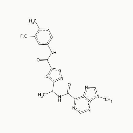 Cc1ccc(NC(=O)c2cnc(C(C)NC(=O)c3ncnc4c3ncn4C)s2)cc1C(F)(F)F